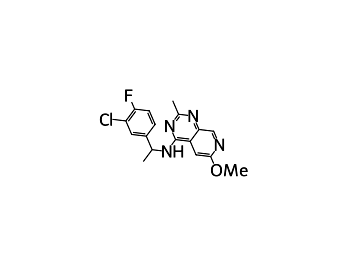 COc1cc2c(NC(C)c3ccc(F)c(Cl)c3)nc(C)nc2cn1